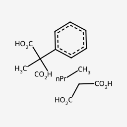 CC(C(=O)O)(C(=O)O)c1ccccc1.CCCC.O=C(O)CC(=O)O